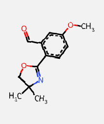 COc1ccc(C2=NC(C)(C)CO2)c(C=O)c1